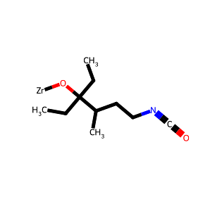 CCC(CC)([O][Zr])C(C)CCN=C=O